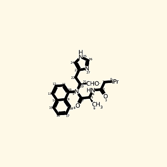 CC(C)CC(=O)N[C@@H](C)C(=O)N(c1cccc2ccccc12)[C@H]([C]=O)Cc1c[nH]cn1